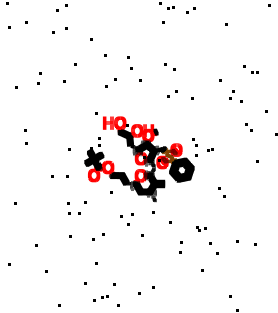 C=C1[C@H](C)C[C@H](CCCOC(=O)C(C)(C)C)O[C@@H]1C[C@@H]1O[C@H](CC(O)CO)[C@H](OC)[C@H]1CS(=O)(=O)c1ccccc1